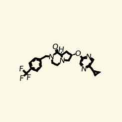 O=C1[C@H]2C[C@@H](Oc3cnc(C4CC4)cn3)CN2CCN1Cc1ccc(C(F)(F)F)cc1